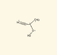 C#CC([C]=O)OS